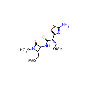 CON=C(C(=O)NC1C(=O)N(S(=O)(=O)O)C1CSC)c1csc(N)n1